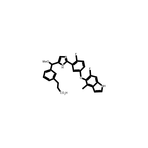 COC(c1cccc(CCC(=O)O)c1)c1cnc(-c2cc(Oc3c(F)cc4[nH]ccc4c3C)ccc2F)[nH]1